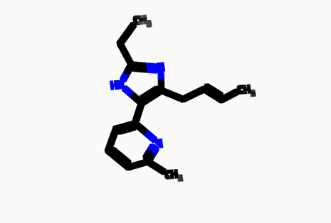 C/C=C/Cc1nc(CC)[nH]c1-c1cccc(C)n1